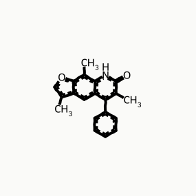 Cc1c(-c2ccccc2)c2cc3c(C)coc3c(C)c2[nH]c1=O